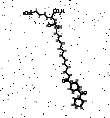 CCCCCCCCCCCCCCC(CC(=O)NCCCCCCCCCCCCC(=O)c1ccc(C(=O)c2ccccc2)cc1)C(=O)O